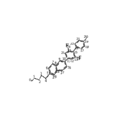 CCCCCc1ccc2cc(-c3cc(F)c(-c4ccc(C)cc4)c(F)c3)ccc2c1